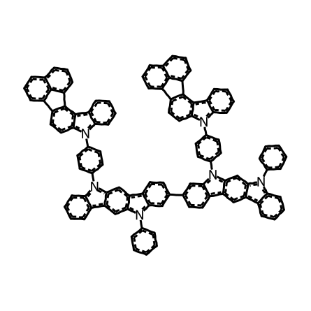 c1ccc(-n2c3cc(-c4ccc5c6cc7c8ccccc8n(-c8ccccc8)c7cc6n(-c6ccc(-n7c8ccccc8c8c9c(ccc87)-c7cccc8cccc-9c78)cc6)c5c4)ccc3c3cc4c(cc32)c2ccccc2n4-c2ccc(-n3c4ccccc4c4c5c(ccc43)-c3cccc4cccc-5c34)cc2)cc1